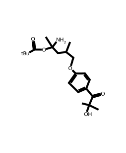 CC(COc1ccc(C(=O)C(C)(C)O)cc1)CC(C)(N)OC(=O)C(C)(C)C